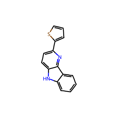 c1csc(-c2ccc3[nH]c4ccccc4c3n2)c1